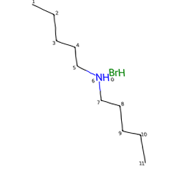 Br.CCCCCNCCCCC